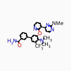 CNc1nccc(-c2cccnc2Oc2cc(-c3cccc(C(N)=O)c3)cc(C(F)(F)F)c2N(C)C)n1